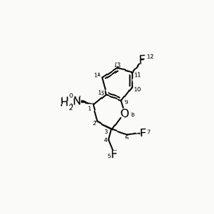 N[C@@H]1CC(CF)(CF)Oc2cc(F)ccc21